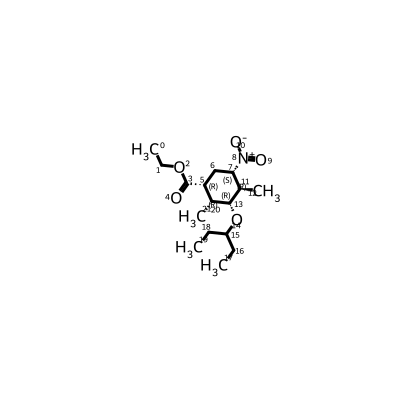 CCOC(=O)[C@@H]1C[C@H]([N+](=O)[O-])[C@@H](C)[C@H](OC(CC)CC)[C@@H]1C